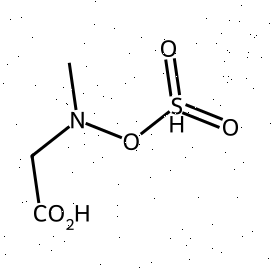 CN(CC(=O)O)O[SH](=O)=O